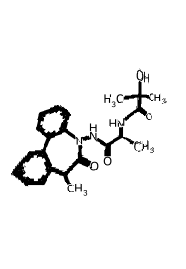 CC1C(=O)N(NC(=O)[C@H](C)NC(=O)C(C)(C)O)c2ccccc2-c2ccccc21